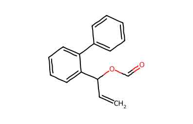 C=CC(OC=O)c1ccccc1-c1ccccc1